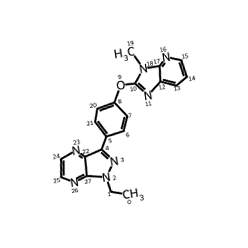 CCn1nc(-c2ccc(Oc3nc4cccnc4n3C)cc2)c2nccnc21